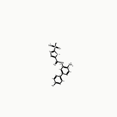 CS(=N)(=O)c1ncc(C(=O)Nc2cc(-c3ccc(F)cc3)ccc2N)s1